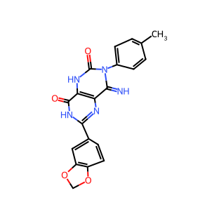 Cc1ccc(-n2c(=O)[nH]c3c(=O)[nH]c(-c4ccc5c(c4)OCO5)nc3c2=N)cc1